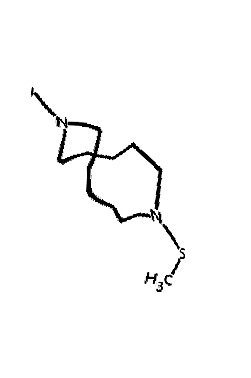 CSN1CCC2(CC1)CN(I)C2